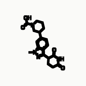 Cn1nc(C2CCC(=O)NC2=O)c2ccc(C3CCCN(C(=O)O)C3)cc21